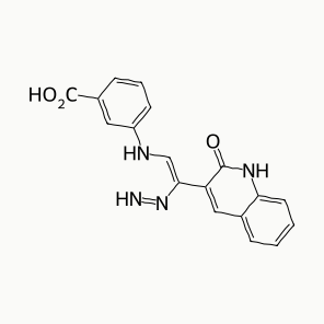 N=N/C(=C\Nc1cccc(C(=O)O)c1)c1cc2ccccc2[nH]c1=O